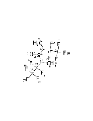 CC([S+]([O-])C(C)C(F)(F)C(F)(F)F)C(F)(F)C(F)(F)F